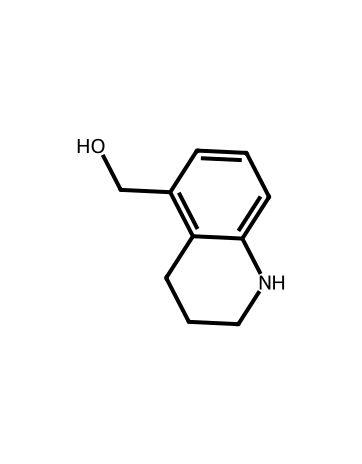 OCc1cccc2c1CCCN2